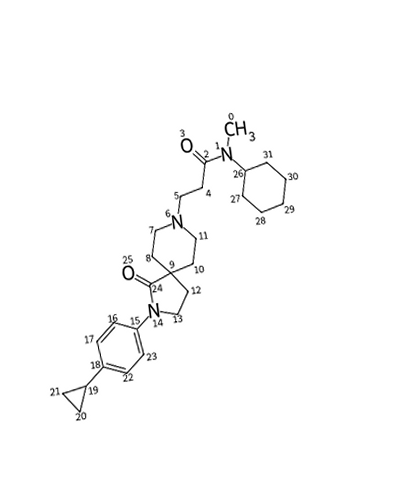 CN(C(=O)CCN1CCC2(CC1)CCN(c1ccc(C3CC3)cc1)C2=O)C1CCCCC1